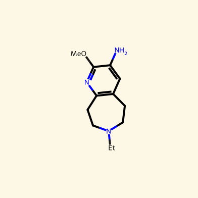 CCN1CCc2cc(N)c(OC)nc2CC1